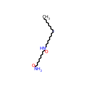 CCCCCCCC/C=C\CCCCCCCCNC(=O)CCCCCCCCC(N)=O